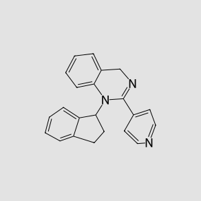 c1ccc2c(c1)CCC2N1C(c2ccncc2)=NCc2ccccc21